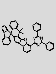 CC1(C)c2ccccc2C2(c3ccccc3-c3ccccc32)c2ccc3c(oc4c(-c5nc(-c6ccccc6)nc(-c6ccccc6)n5)cccc43)c21